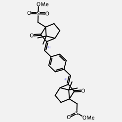 COS(=O)CC12CCC(/C(=C\c3ccc(/C=C4/C(=O)C5(CS(=O)(=O)OC)CCC4C5(C)C)cc3)C1=O)C2(C)C